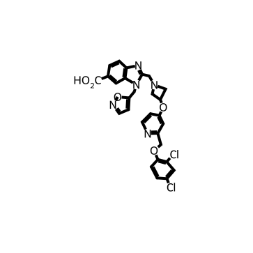 O=C(O)c1ccc2nc(CN3CC(Oc4ccnc(COc5ccc(Cl)cc5Cl)c4)C3)n(Cc3ccno3)c2c1